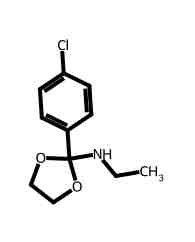 CCNC1(c2ccc(Cl)cc2)OCCO1